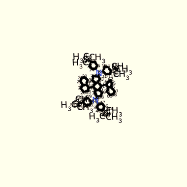 C[Si](C)(C)c1ccc(N(c2ccc([Si](C)(C)C)cc2)c2ccc3c(-c4cccc5ccccc45)c4cc(N(c5ccc([Si](C)(C)C)cc5)c5ccc([Si](C)(C)C)cc5)ccc4c(-c4cccc5ccccc45)c3c2)cc1